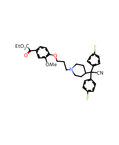 CCOC(=O)C(=O)c1ccc(OCCCN2CCC(C(C#N)(c3ccc(F)cc3)c3ccc(F)cc3)CC2)c(OC)c1